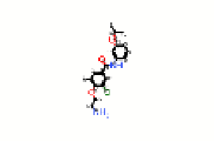 Cc1cc(C(=O)Nc2cccc(OC(C)C)c2)cc(Cl)c1OCCN